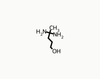 CC(N)(N)CCCO